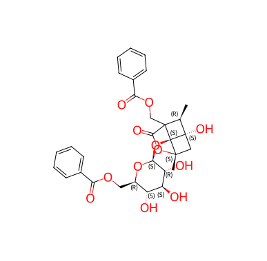 C[C@@H]1C2(COC(=O)c3ccccc3)C(=O)O[C@@]3(C)C[C@@]1(O)[C@@]23O[C@@H]1O[C@H](COC(=O)c2ccccc2)[C@@H](O)[C@H](O)[C@H]1O